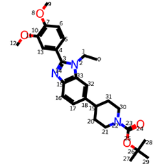 CCn1c(-c2ccc(OC)c(OC)c2)nc2ccc(C3CCN(C(=O)OC(C)(C)C)CC3)cc21